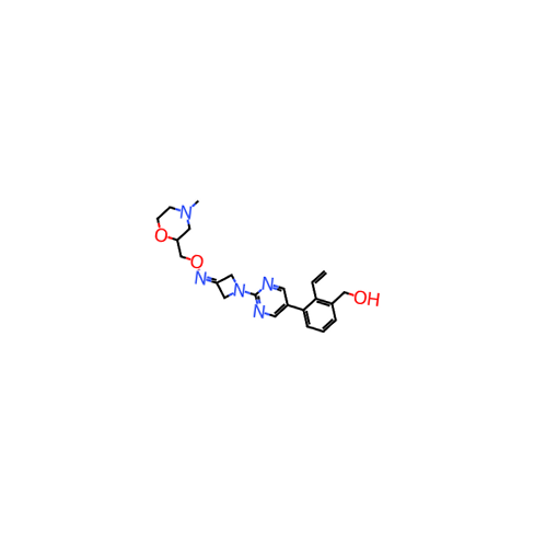 C=Cc1c(CO)cccc1-c1cnc(N2CC(=NOCC3CN(C)CCO3)C2)nc1